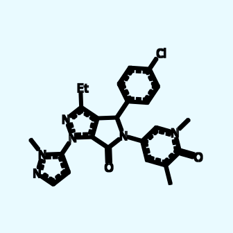 CCc1nn(-c2ccnn2C)c2c1C(c1ccc(Cl)cc1)N(c1cc(C)c(=O)n(C)c1)C2=O